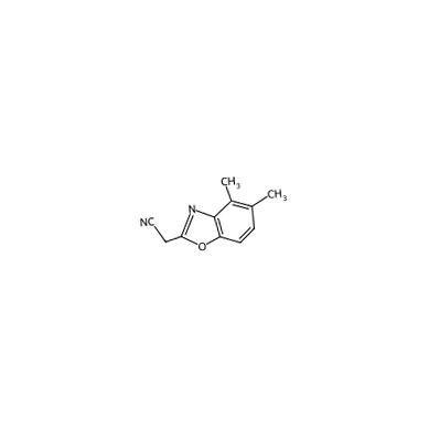 Cc1ccc2oc(CC#N)nc2c1C